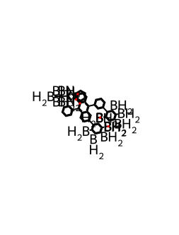 Bc1c(B)c(B)c(-c2cccc(-c3c4ccccc4c(-c4ccccc4-n4c(C(B)(B)C(B)(B)B)nc5ccccc54)c4ccc(-c5c(B)c(B)c(B)c(B)c5B)cc34)c2)c(B)c1B